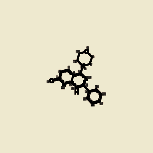 O=c1ccc2c(N3CCOCC3)nc(-c3ccccc3)[nH]c-2n1